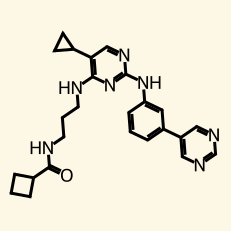 O=C(NCCCNc1nc(Nc2cccc(-c3cncnc3)c2)ncc1C1CC1)C1CCC1